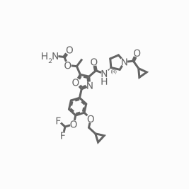 CC(OC(N)=O)c1oc(-c2ccc(OC(F)F)c(OCC3CC3)c2)nc1C(=O)N[C@@H]1CCN(C(=O)C2CC2)C1